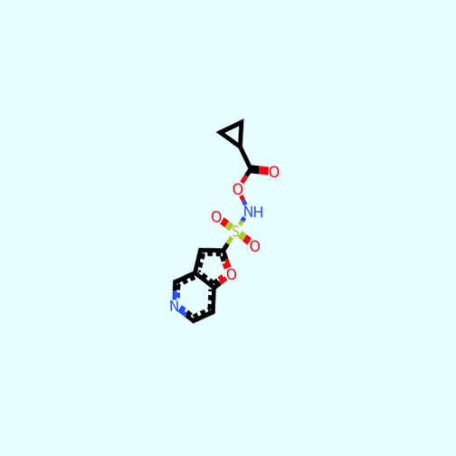 O=C(ONS(=O)(=O)c1cc2cnccc2o1)C1CC1